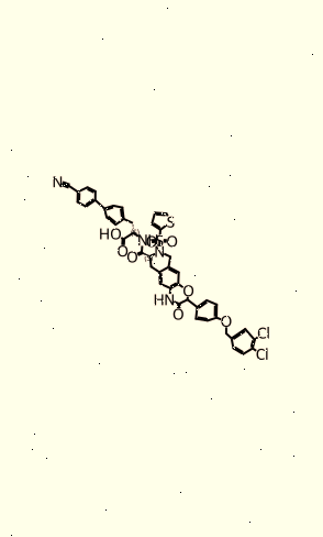 N#Cc1ccc(-c2ccc(C[C@H](NC(=O)[C@@H]3Cc4cc5c(cc4CN3S(=O)(=O)c3cccs3)OC(c3ccc(OCc4ccc(Cl)c(Cl)c4)cc3)C(=O)N5)C(=O)O)cc2)cc1